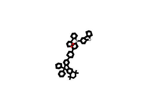 CC1(C)CCC(C)(C)c2cc3c(cc21)-c1cc(-c2ccc(-c4ccc(N(c5ccc6oc7ccccc7c6c5)c5ccccc5-c5ccccc5)cc4)cc2)ccc1C3(c1ccccc1)c1ccccc1